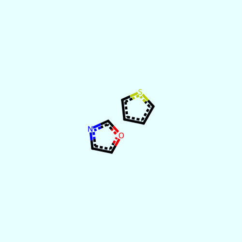 c1ccsc1.c1cocn1